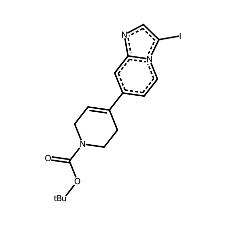 CC(C)(C)OC(=O)N1CC=C(c2ccn3c(I)cnc3c2)CC1